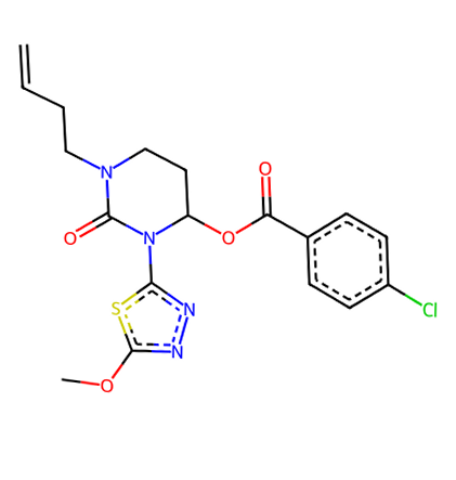 C=CCCN1CCC(OC(=O)c2ccc(Cl)cc2)N(c2nnc(OC)s2)C1=O